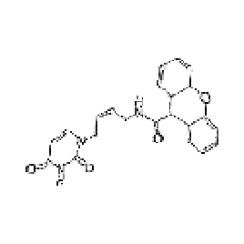 O=C(NC/C=C\Cn1ccc(=O)[nH]c1=O)C1c2ccccc2OC2C=CC=CC21